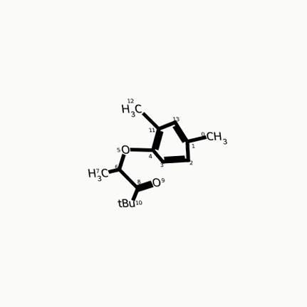 Cc1ccc(OC(C)C(=O)C(C)(C)C)c(C)c1